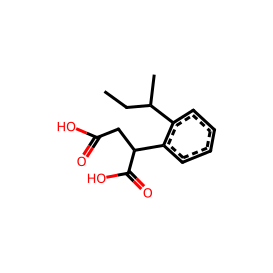 CCC(C)c1ccccc1C(CC(=O)O)C(=O)O